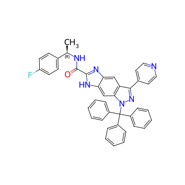 C[C@@H](NC(=O)c1nc2cc3c(-c4ccncc4)nn(C(c4ccccc4)(c4ccccc4)c4ccccc4)c3cc2[nH]1)c1ccc(F)cc1